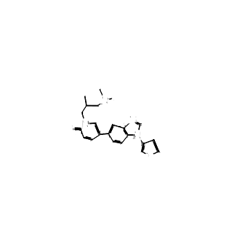 CC(CN(C)C)Cn1cc(-c2ccc3c(c2)ncn3-c2ccsc2)ccc1=O